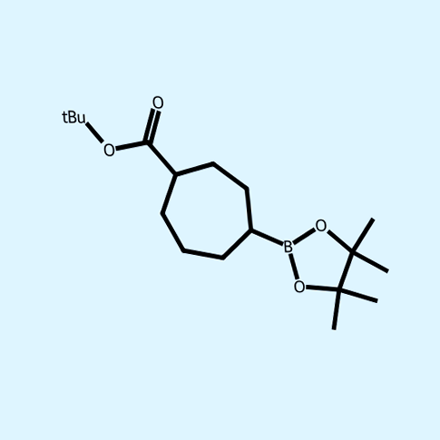 CC(C)(C)OC(=O)C1CCCC(B2OC(C)(C)C(C)(C)O2)CC1